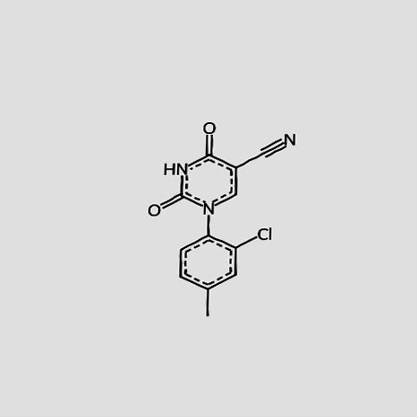 Cc1ccc(-n2cc(C#N)c(=O)[nH]c2=O)c(Cl)c1